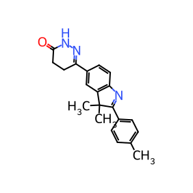 Cc1ccc(C2=Nc3ccc(C4=NNC(=O)CC4)cc3C2(C)C)cc1